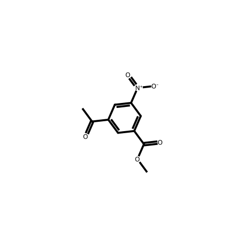 COC(=O)c1cc(C(C)=O)cc([N+](=O)[O-])c1